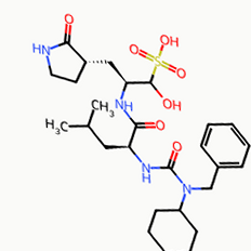 CC(C)C[C@H](NC(=O)N(Cc1ccccc1)C1CCCCC1)C(=O)N[C@@H](C[C@@H]1CCNC1=O)C(O)S(=O)(=O)O